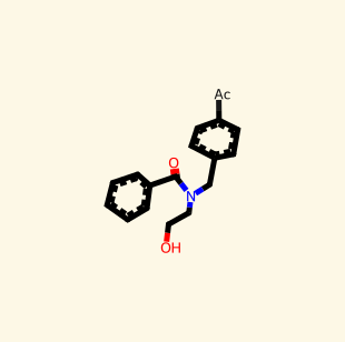 CC(=O)c1ccc(CN(CCO)C(=O)c2ccccc2)cc1